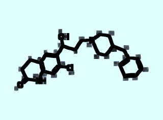 O=C1CCc2cc(C(O)CCN3CCC(Cc4ccccc4)CC3)c(Cl)cc2N1